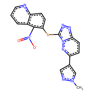 Cn1cc(-c2ccc3nnc(Sc4ccc5ncccc5c4[N+](=O)[O-])n3n2)cn1